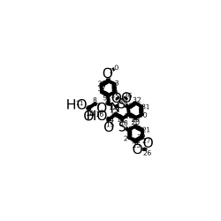 COc1ccc(C(OCC(=O)O)N2C(C(=O)O)=C(Sc3ccc4c(c3)OCO4)c3ccccc3S2(=O)=O)cc1